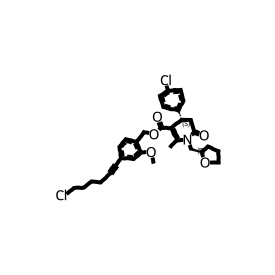 COc1cc(C#CCCCCCl)ccc1COC(=O)C1=C(C)N(C[C@H]2CCCO2)C(=O)C[C@H]1c1ccc(Cl)cc1